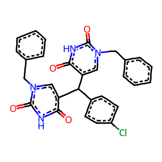 O=c1[nH]c(=O)n(Cc2ccccc2)cc1C(c1ccc(Cl)cc1)c1cn(Cc2ccccc2)c(=O)[nH]c1=O